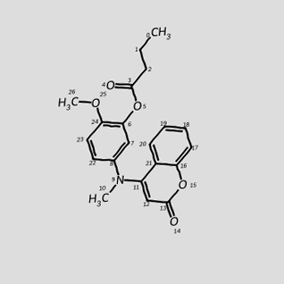 CCCC(=O)Oc1cc(N(C)c2cc(=O)oc3ccccc23)ccc1OC